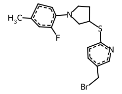 Cc1ccc(N2CCC(Sc3ccc(CBr)cn3)C2)c(F)c1